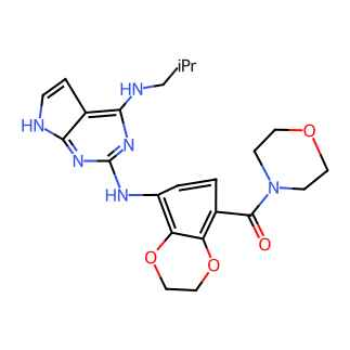 CC(C)CNc1nc(Nc2ccc(C(=O)N3CCOCC3)c3c2OCCO3)nc2[nH]ccc12